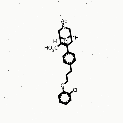 CC(=O)N1C[C@H]2CC(c3ccc(CCCOc4ccccc4Cl)cc3)=C(C(=O)O)[C@@H](C1)N2